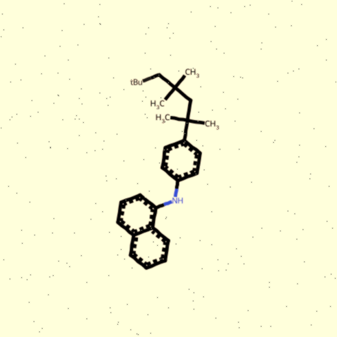 CC(C)(C)CC(C)(C)CC(C)(C)c1ccc(Nc2cccc3ccccc23)cc1